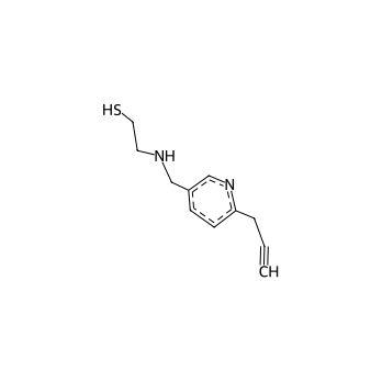 C#CCc1ccc(CNCCS)cn1